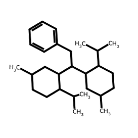 CC1CCC(C(C)C)C([C](Cc2ccccc2)C2CC(C)CCC2C(C)C)C1